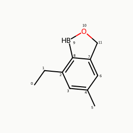 CCc1cc(C)cc2c1BOC2